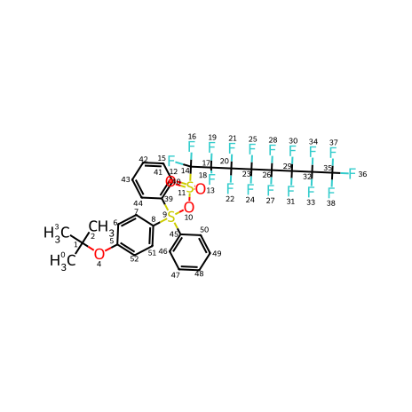 CC(C)(C)Oc1ccc(S(OS(=O)(=O)C(F)(F)C(F)(F)C(F)(F)C(F)(F)C(F)(F)C(F)(F)C(F)(F)C(F)(F)F)(c2ccccc2)c2ccccc2)cc1